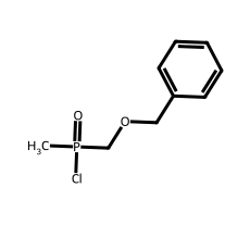 CP(=O)(Cl)COCc1ccccc1